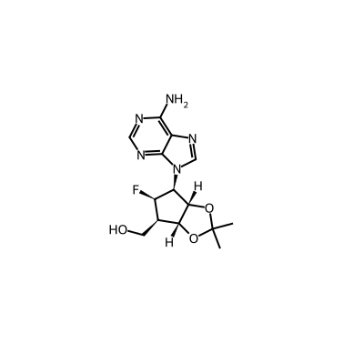 CC1(C)O[C@@H]2[C@@H](CO)[C@@H](F)[C@@H](n3cnc4c(N)ncnc43)[C@@H]2O1